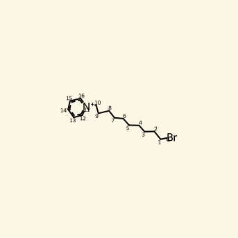 BrCCCCCCCCCC[n+]1ccccc1